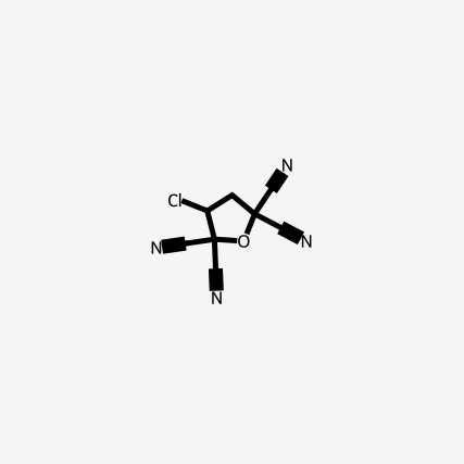 N#CC1(C#N)CC(Cl)C(C#N)(C#N)O1